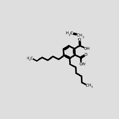 C=C.CCCCCCc1ccc(C(=O)O)c(C(=O)O)c1CCCCCC